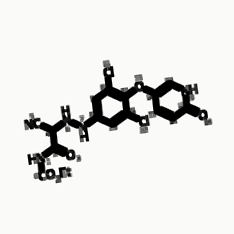 CCOC(=O)NC(=O)C(C#N)NNc1cc(Cl)c(Oc2ccc(=O)[nH]c2)c(Cl)c1